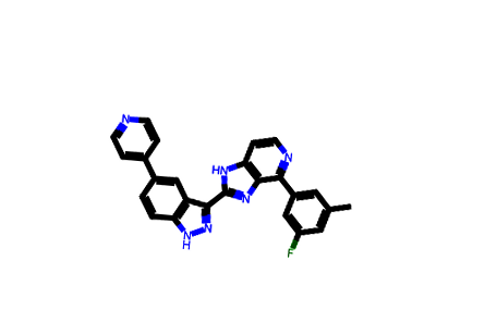 Cc1cc(F)cc(-c2nccc3[nH]c(-c4n[nH]c5ccc(-c6ccncc6)cc45)nc23)c1